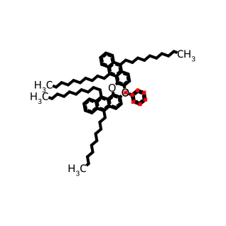 CCCCCCCCCCc1c2ccccc2c(CCCCCCCCCC)c2c(Oc3c(Oc4ccccc4)ccc4c(CCCCCCCCCC)c5ccccc5c(CCCCCCCCCC)c34)c(Oc3ccccc3)ccc12